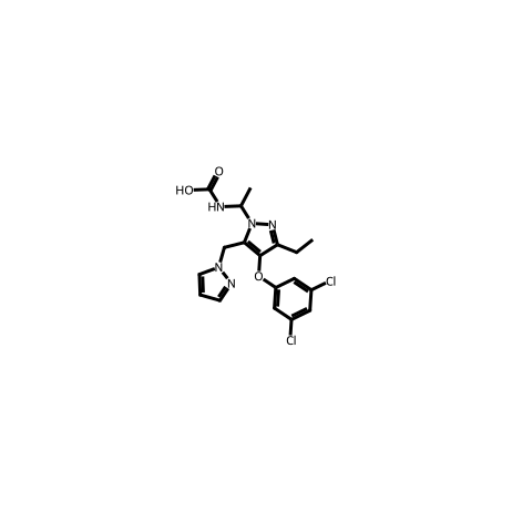 CCc1nn(C(C)NC(=O)O)c(Cn2cccn2)c1Oc1cc(Cl)cc(Cl)c1